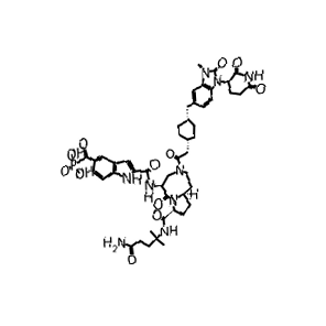 Cn1c(=O)n(C2CCC(=O)NC2=O)c2ccc(C[C@H]3CC[C@@H](CC(=O)N4CC[C@H]5CC[C@@H](C(=O)NC(C)(C)CCC(N)=O)N5C(=O)[C@@H](NC(=O)c5cc6cc(C(=O)P(=O)(O)O)ccc6[nH]5)C4)CC3)cc21